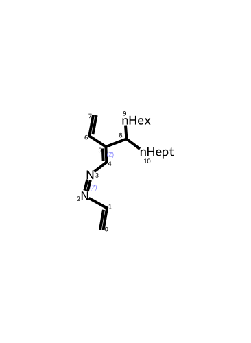 C=C/N=N\C=C(/C=C)C(CCCCCC)CCCCCCC